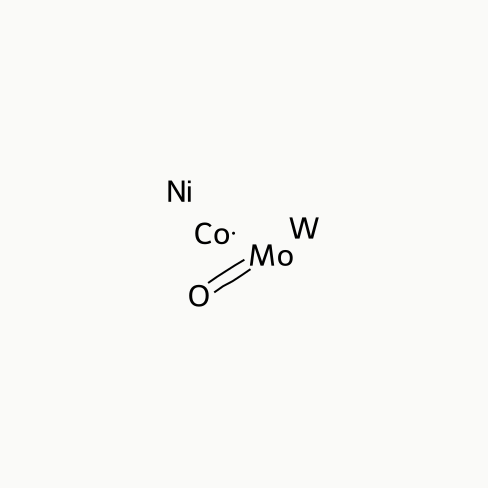 [Co].[Ni].[O]=[Mo].[W]